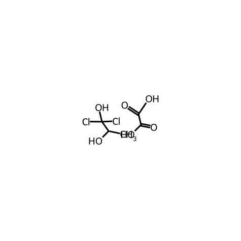 CC(O)C(O)(Cl)Cl.O=C(O)C(=O)O